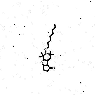 CCCCCCCCON1C(C)(C)C=C2C3C(=O)CCC3OC2C1(C)C